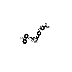 CC(C)(Cc1ccc(Oc2ccc(C(N)=O)cn2)cc1)NC[C@H](O)COc1cccc2[nH]c3ccccc3c12.Cl